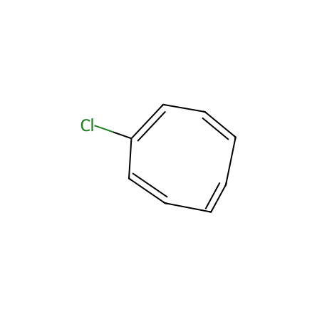 ClC1=CC=CC=CC=C1